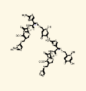 Nc1nc(/C(=N/OCc2cc(=O)c(O)cn2O)C(=O)N[C@@H]2C(=O)N3C(C(=O)[O-])=C(CSc4cnns4)CS[C@H]23)cs1.Nc1nc(/C(=N/OCc2cc(=O)c(O)cn2O)C(=O)N[C@@H]2C(=O)N3C(C(=O)[O-])=C(CSc4cnns4)CS[C@H]23)cs1.[Na+].[Na+]